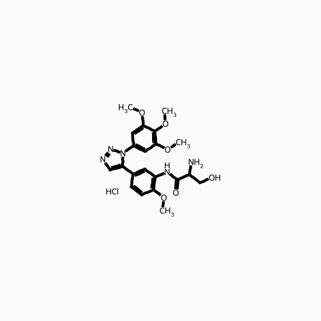 COc1ccc(-c2cnnn2-c2cc(OC)c(OC)c(OC)c2)cc1NC(=O)C(N)CO.Cl